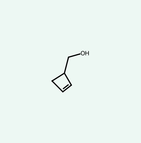 OCC1C=CC1